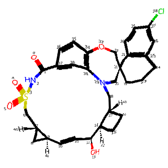 O=C1NS(=O)(=O)C[C@H]2C[C@@H]2/C=C/[C@H](O)[C@@H]2CC[C@H]2CN2C[C@@]3(CCCc4cc(Cl)ccc43)COc3ccc1cc32